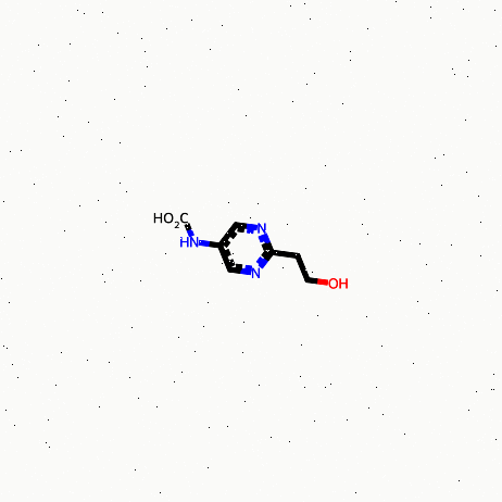 O=C(O)Nc1cnc(CCO)nc1